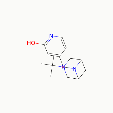 CC(C)(C)N1CC2CC(C1)N2Cc1ccnc(O)c1